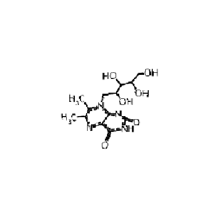 Cc1nc2c(=O)[nH]c(=O)nc-2n(CC(O)C(O)C(O)CO)c1C